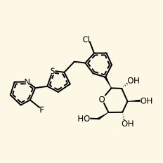 OC[C@H]1O[C@@H](c2ccc(Cl)c(Cc3ccc(-c4ncccc4F)s3)c2)[C@H](O)[C@@H](O)[C@@H]1O